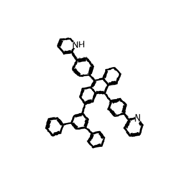 C1=CCNC(c2ccc(-c3c4c(c(-c5ccc(-c6ccccn6)cc5)c5cc(-c6cc(-c7ccccc7)cc(-c7ccccc7)c6)ccc35)=CCCC=4)cc2)=C1